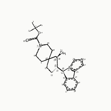 CC(C)(C)OC(=O)N1CCC2(CC[C@@H]([C@@H]3c4ccccc4-c4cncn43)[C@@H]2O)CC1